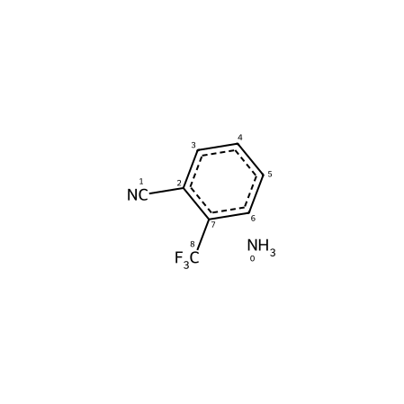 N.N#Cc1ccccc1C(F)(F)F